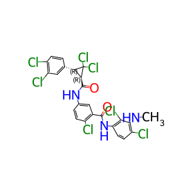 CNc1c(Cl)ccc(NC(=O)c2cc(NC(=O)[C@H]3[C@H](c4ccc(Cl)c(Cl)c4)C3(Cl)Cl)ccc2Cl)c1Cl